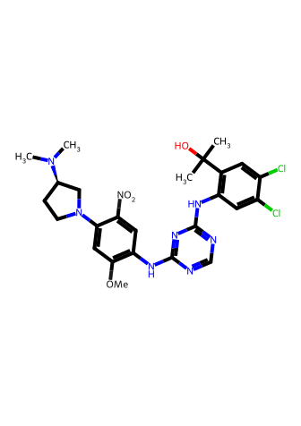 COc1cc(N2CC[C@@H](N(C)C)C2)c([N+](=O)[O-])cc1Nc1ncnc(Nc2cc(Cl)c(Cl)cc2C(C)(C)O)n1